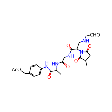 CC(=O)OCc1ccc(NC(=O)C(C)NC(=O)CNC(=O)C(CNCC=O)N2C(=O)CC(C)C2=O)cc1